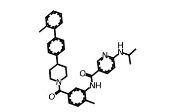 Cc1ccc(C(=O)N2CCC(c3ccc(-c4ccccc4C)cc3)CC2)cc1NC(=O)c1ccc(NC(C)C)nc1